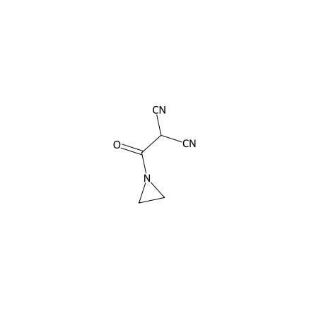 N#CC(C#N)C(=O)N1CC1